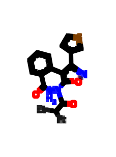 CCC(CC)C(=O)Nc1onc(-c2ccsc2)c1-c1ccccc1C(N)=O